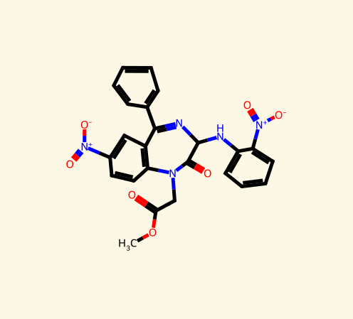 COC(=O)CN1C(=O)C(Nc2ccccc2[N+](=O)[O-])N=C(c2ccccc2)c2cc([N+](=O)[O-])ccc21